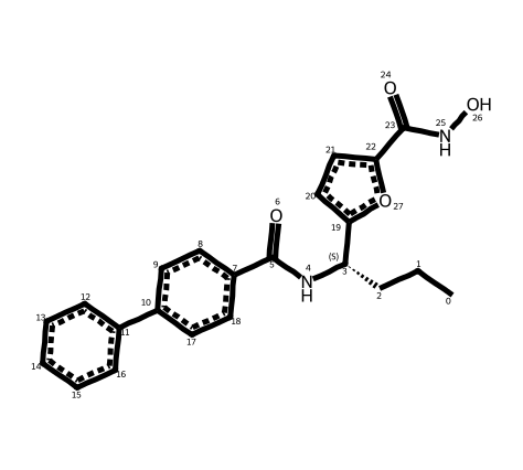 CCC[C@H](NC(=O)c1ccc(-c2ccccc2)cc1)c1ccc(C(=O)NO)o1